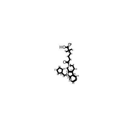 CC(C)(CCCC(=O)N1CCc2c(n(CC3CCCC3)c3ncccc23)C1)C(=O)O